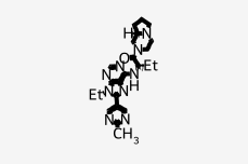 CC[C@@H](Nc1ncnc2c1nc(-c1cnc(C)nc1)n2CC)C(=O)N1CCN2CCC[C@H]2C1